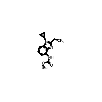 CC(C)(C)OC(=O)Nc1cccc2c1nc(CC(F)(F)F)n2C1CC1